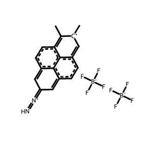 CC1=c2ccc3c4c(ccc(c24)=C[C+]1C)=CC(=[N+]=N)C=3.F[B-](F)(F)F.F[B-](F)(F)F